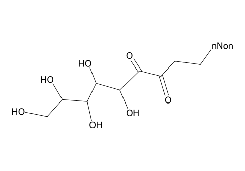 CCCCCCCCCCCC(=O)C(=O)C(O)C(O)C(O)C(O)CO